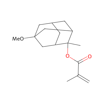 C=C(C)C(=O)OC1(C)C2CC3CC1CC(OC)(C3)C2